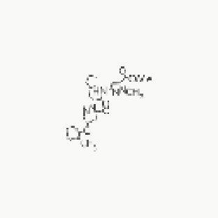 COC(=O)c1cc(NC(=O)C(CC2CCCC2)n2ncc(Oc3ccccc3C(F)(F)F)cc2=O)nn1C